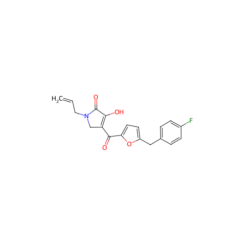 C=CCN1CC(C(=O)c2ccc(Cc3ccc(F)cc3)o2)=C(O)C1=O